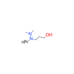 CCCN(CCCO)N(C)C